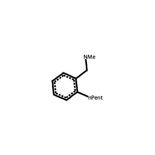 CCCCCc1ccccc1CNC